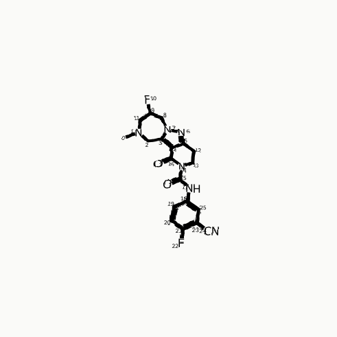 CN1Cc2c3c(nn2CC(F)C1)CCN(C(=O)Nc1ccc(F)c(C#N)c1)C3=O